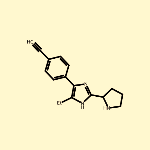 C#Cc1ccc(-c2nc(C3CCCN3)[nH]c2CC)cc1